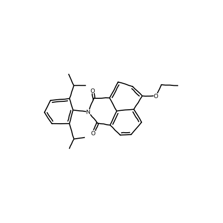 CCOc1ccc2c3c(cccc13)C(=O)N(c1c(C(C)C)cccc1C(C)C)C2=O